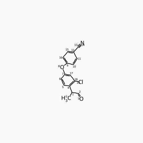 CC(C=O)c1ccc(Oc2ccc(C#N)cc2)cc1Cl